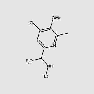 CCNC(c1cc(Cl)c(OC)c(C)n1)C(F)(F)F